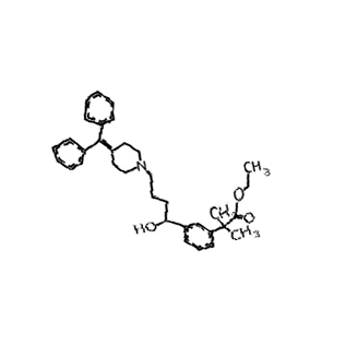 CCOC(=O)C(C)(C)c1cccc(C(O)CCCN2CCC(=C(c3ccccc3)c3ccccc3)CC2)c1